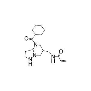 C=CC(=O)NCC1CN2NCCC2N(C(=O)C2CCCCC2)C1